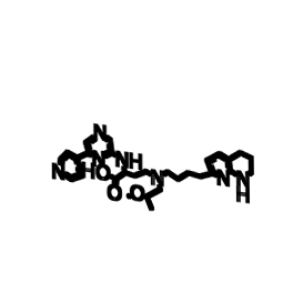 COC(C)CN(CCCCc1ccc2c(n1)NCCC2)CCC(Nc1cncc(-c2ccncc2)n1)C(=O)O